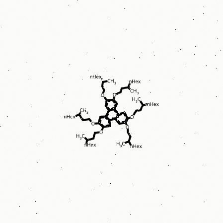 CCCCCCC(C)CCOc1cc2c3cc(OCCC(C)CCCCCC)c(OCCC(C)CCCCCC)cc3c3cc(OCC[C@@H](C)CCCCCC)c(OCCC(C)CCCCCC)cc3c2cc1OCCC(C)CCCCCC